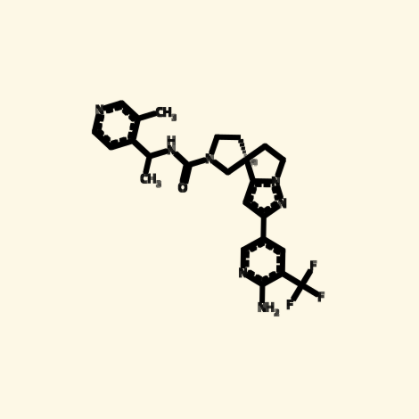 Cc1cnccc1C(C)NC(=O)N1CC[C@@]2(CCn3nc(-c4cnc(N)c(C(F)(F)F)c4)cc32)C1